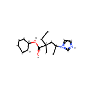 CCC(C)(CC(C)n1ccnc1)C(=O)OC1CCCCC1